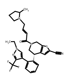 CCn1cc(-c2ccccc2[C@@H]2CN(C(=O)/C=C/CN3CCCC3C)Cc3sc(C#N)cc32)c(C(F)(F)F)n1